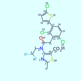 Cc1nc(N(CC(F)F)C(=O)Cc2c(Cl)ccc(-c3ccc(Cl)s3)c2Cl)c(C(=O)O)s1